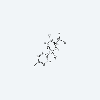 Cc1ccc(S(=O)(=O)ON(C(C)C)C(C)C)cc1